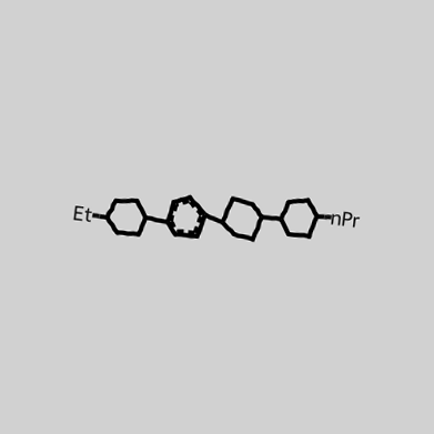 CCCC1CCC(C2CCC(c3ccc(C4CCC(CC)CC4)cc3)CC2)CC1